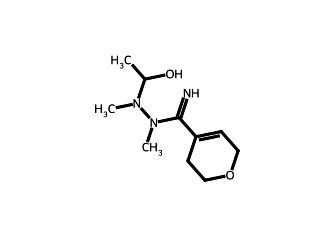 CC(O)N(C)N(C)C(=N)C1=CCOCC1